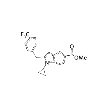 COC(=O)c1ccc2c(c1)cc(Cc1ccc(C(F)(F)F)cc1)n2C1CC1